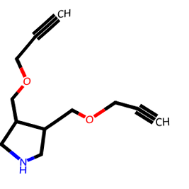 C#CCOCC1CNCC1COCC#C